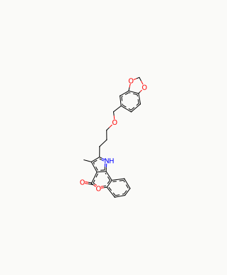 Cc1c(CCCOCc2ccc3c(c2)OCO3)[nH]c2c1c(=O)oc1ccccc12